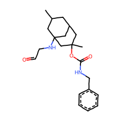 CC1CC2CC(NCC=O)(C1)CC(C)(OC(=O)NCc1ccccc1)C2